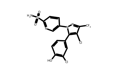 NS(=O)(=O)c1ccc(-n2nc(C(F)(F)F)c(Cl)c2-c2ccc(O)c(Cl)c2)cn1